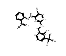 O=[N+]([O-])c1ccccc1SNc1nc(OCc2cccc(C(F)(F)F)c2F)ncc1F